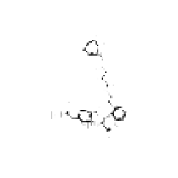 O=C(O)Cc1ccc(SC(c2ccccc2CCCCCCCCc2ccccc2)C(O)C(=O)O)cc1